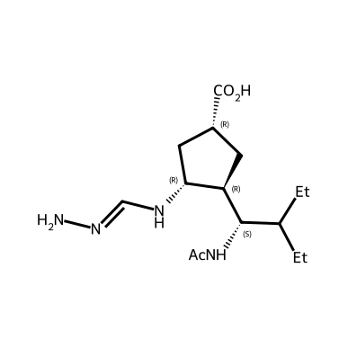 CCC(CC)[C@H](NC(C)=O)[C@@H]1C[C@@H](C(=O)O)C[C@H]1NC=NN